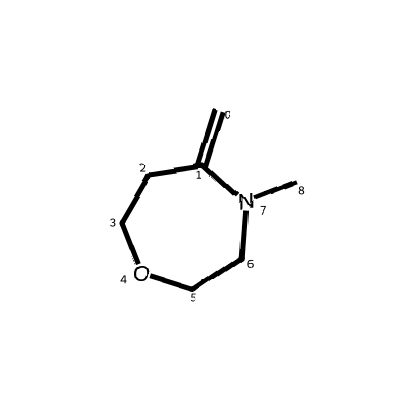 C=C1CCOCCN1C